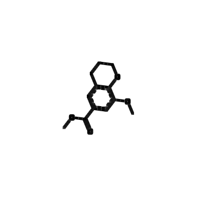 COC(=O)c1cc2c(c(OC)c1)OCCC2